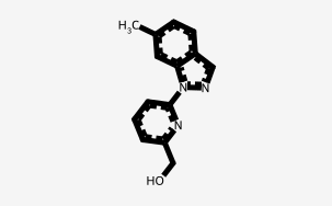 Cc1ccc2cnn(-c3cccc(CO)n3)c2c1